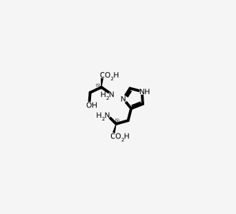 N[C@@H](CO)C(=O)O.N[C@@H](Cc1c[nH]cn1)C(=O)O